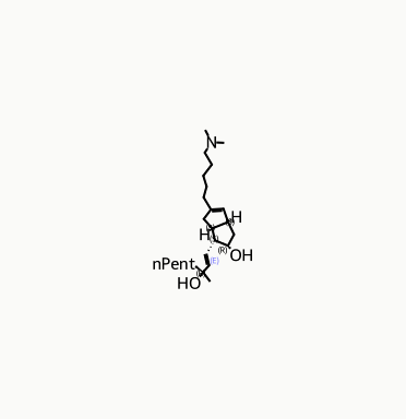 CCCCC[C@@](C)(O)/C=C/[C@@H]1[C@H]2CC(CCCCCN(C)C)=C[C@H]2C[C@H]1O